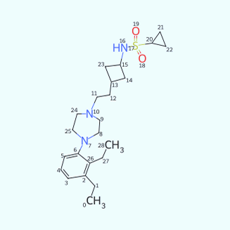 CCc1cccc(N2CCN(CCC3CC(NS(=O)(=O)C4CC4)C3)CC2)c1CC